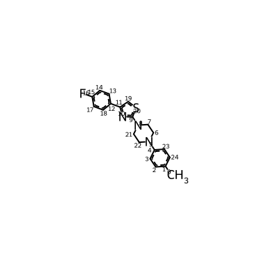 Cc1ccc(N2CCN(c3nc(-c4ccc(F)cc4)cs3)CC2)cc1